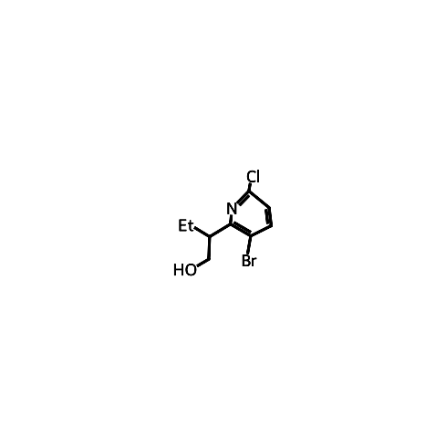 CCC(CO)c1nc(Cl)ccc1Br